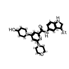 CCC1CNc2ccc(NC(=O)c3cc(N4CCC(O)CC4)cc(N4CCOCC4)n3)cc21